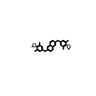 COc1c(C)cc(Cc2ccc3cc(Cc4cc(C)c(OC)c(C)c4)ccc3c2)cc1C